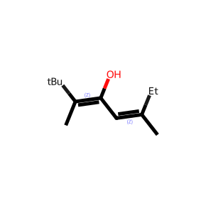 CC/C(C)=C\C(O)=C(/C)C(C)(C)C